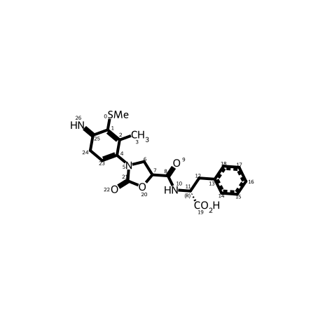 CSC1=C(C)C(N2CC(C(=O)N[C@H](Cc3ccccc3)C(=O)O)OC2=O)=CCC1=N